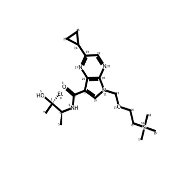 CC[C@](C)(O)[C@H](C)NC(=O)c1cn(COCC[Si](C)(C)C)c2ncc(C3CC3)nc12